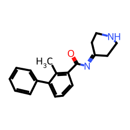 Cc1c(C(=O)N=C2CCNCC2)cccc1-c1ccccc1